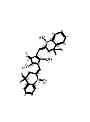 CCN1/C(=C/C2=C(O)C(/C=C3\CC(C)(C)c4ccccc4N3CC)=C(O)C2=O)CC(C)(C)c2ccccc21